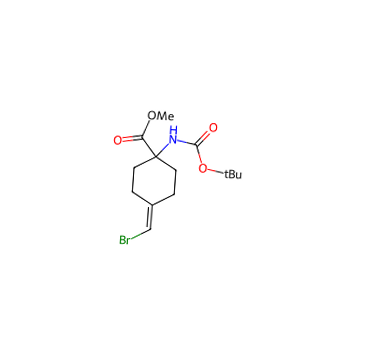 COC(=O)C1(NC(=O)OC(C)(C)C)CCC(=CBr)CC1